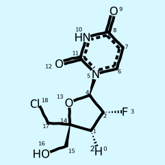 [2H][C@H]1[C@@H](F)[C@H](n2ccc(=O)[nH]c2=O)O[C@@]1(CO)CCl